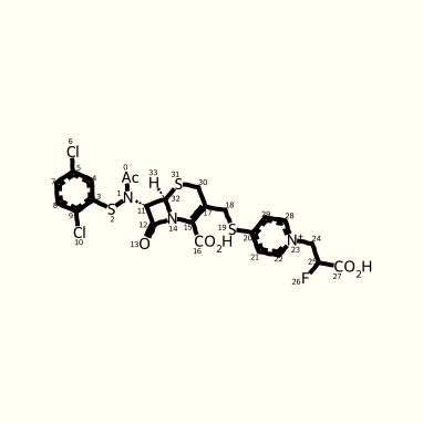 CC(=O)N(Sc1cc(Cl)ccc1Cl)[C@H]1C(=O)N2C(C(=O)O)=C(CSc3cc[n+](CC(F)C(=O)O)cc3)CS[C@H]12